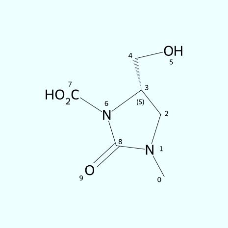 CN1C[C@@H](CO)N(C(=O)O)C1=O